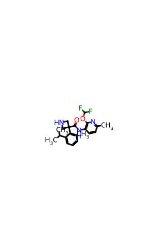 Cc1ccc(NC(=O)C2(c3c(C)cccc3C(C)C)CNC2)c(OC(F)F)n1